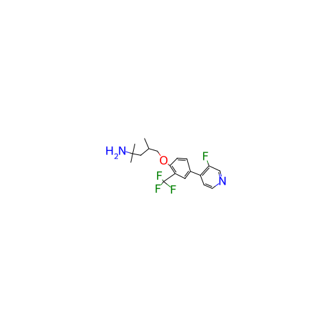 CC(COc1ccc(-c2ccncc2F)cc1C(F)(F)F)CC(C)(C)N